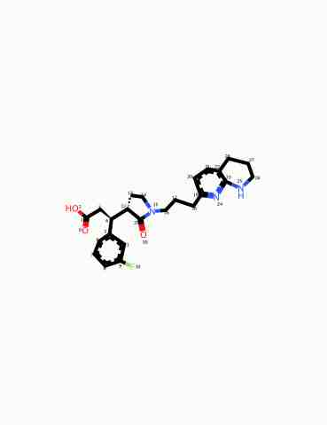 O=C(O)C[C@H](c1cccc(F)c1)[C@@H]1CCN(CCCc2ccc3c(n2)NCCC3)C1=O